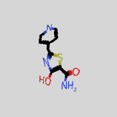 NC(=O)c1sc(-c2ccncc2)nc1O